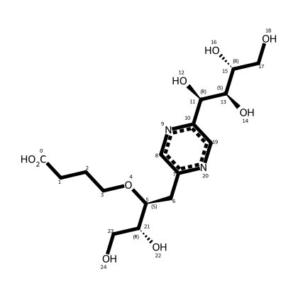 O=C(O)CCCO[C@@H](Cc1cnc([C@@H](O)[C@H](O)[C@H](O)CO)cn1)[C@H](O)CO